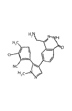 Cc1ccc(-c2c(-c3ccc4c(=O)[nH]nc(CN)c4c3)cnn2C)c(C#N)c1Cl